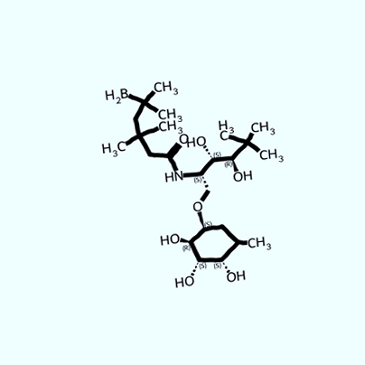 BC(C)(C)CC(C)(C)CC(=O)N[C@@H](CO[C@H]1CC(C)[C@H](O)[C@H](O)[C@H]1O)[C@H](O)[C@H](O)C(C)(C)C